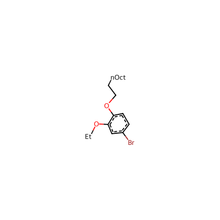 CCCCCCCCCCOc1ccc(Br)cc1OCC